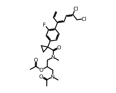 C=C/C(=C\C=C(\Cl)CCl)c1ccc(C2(C(=O)N(C)CC(CN(C)C(C)=O)OC(C)=O)CC2)cc1F